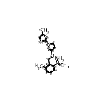 Cc1cnc(-n2ccc(OCc3c(C)cccc3N(C)N)n2)s1